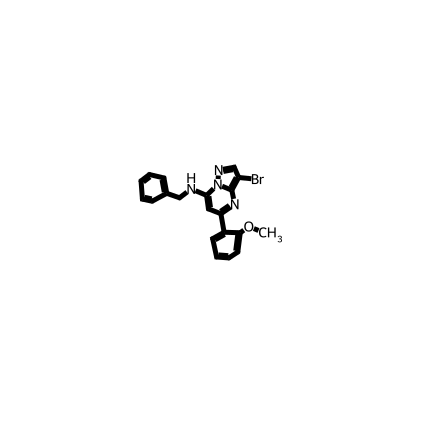 COc1ccccc1-c1cc(NCc2ccccc2)n2ncc(Br)c2n1